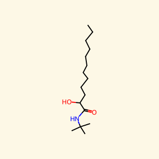 CCCCCCCCCCC(O)C(=O)NC(C)(C)C